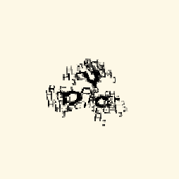 CN1C(C)(C)CC(O[SiH](OC2CC(C)(C)N(C)C(C)(C)C2)OC2CC(C)(C)N(C)C(C)(C)C2)CC1(C)C